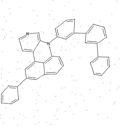 c1ccc(-c2cccc(-c3cccc(N4c5cnccc5-c5cc(-c6ccccc6)cc6cccc4c56)c3)c2)cc1